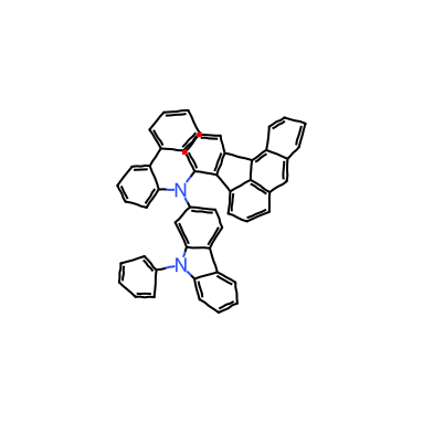 c1ccc(-c2ccccc2N(c2ccc3c4ccccc4n(-c4ccccc4)c3c2)c2cccc3c2-c2cccc4cc5ccccc5c-3c24)cc1